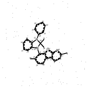 Cc1ccc2c(n1)oc1c(N3c4ccccc4N(c4ccccc4)C3(C)C)c(C)ccc12